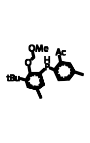 COCOc1c(Pc2ccc(C)cc2C(C)=O)cc(C)cc1C(C)(C)C